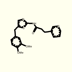 COc1ccc(Cc2cnc(NC(=O)CCc3cccnc3)s2)cc1OC